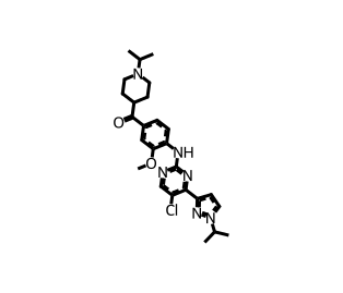 COc1cc(C(=O)C2CCN(C(C)C)CC2)ccc1Nc1ncc(Cl)c(-c2ccn(C(C)C)n2)n1